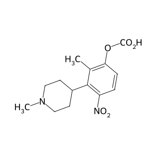 Cc1c(OC(=O)O)ccc([N+](=O)[O-])c1C1CCN(C)CC1